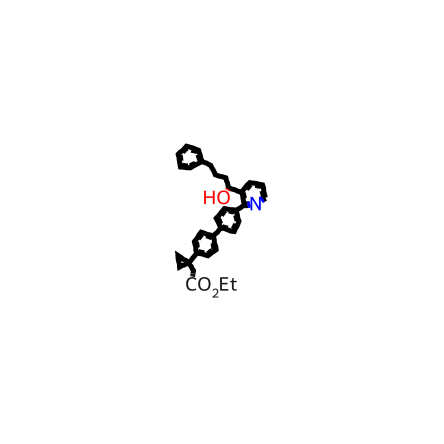 CCOC(=O)CC1(c2ccc(-c3ccc(-c4ncccc4C(O)CCCc4ccccc4)cc3)cc2)CC1